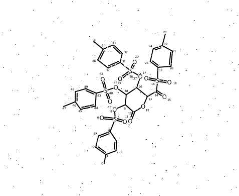 Cc1ccc(S(=O)(=O)OC2C(=O)OC(C(=O)S(=O)(=O)c3ccc(C)cc3)C(OS(=O)(=O)c3ccc(C)cc3)C2OS(=O)(=O)c2ccc(C)cc2)cc1